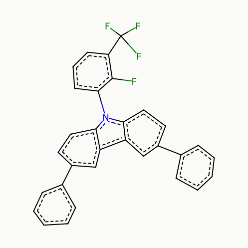 Fc1c(-n2c3ccc(-c4ccccc4)cc3c3cc(-c4ccccc4)ccc32)cccc1C(F)(F)F